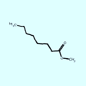 CCCCCC[CH]C(=O)OC